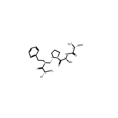 CC[C@@H](N)C(=O)N(CCc1ccccc1)C[C@@H]1CCCN1C(=O)[C@@H](NC(=O)[C@H](C)NC)C(C)(C)C